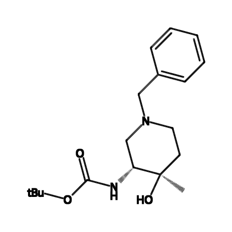 CC(C)(C)OC(=O)N[C@@H]1CN(Cc2ccccc2)CC[C@@]1(C)O